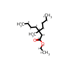 CCCCC(C)(CCCC)CC(=O)OCC